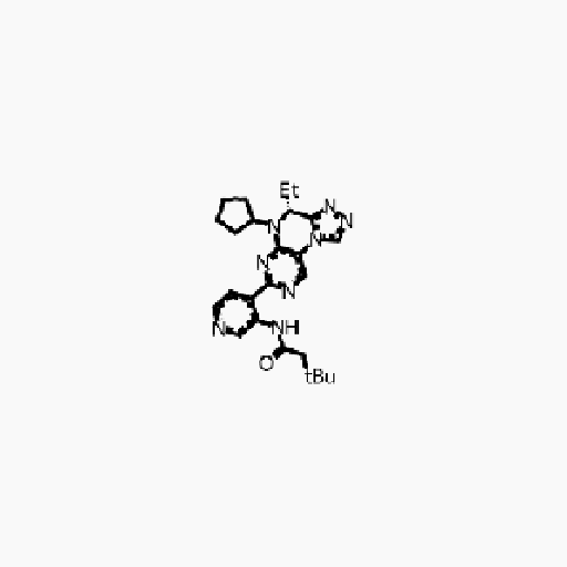 CC[C@@H]1c2nncn2-c2cnc(-c3ccncc3NC(=O)CC(C)(C)C)nc2N1C1CCCC1